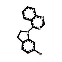 Brc1ccc2c(c1)N(c1ncnc3ccccc13)CC2